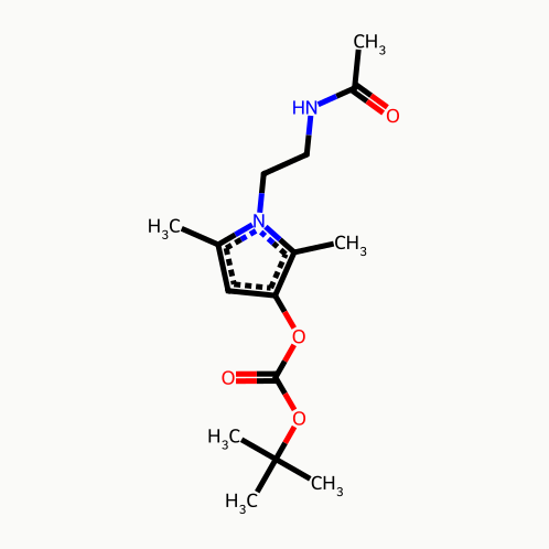 CC(=O)NCCn1c(C)cc(OC(=O)OC(C)(C)C)c1C